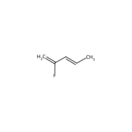 C=C(F)/C=C/C